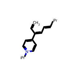 C=C/C(=C\C=C\C(C)C)c1cc[n+](C(C)C)cc1